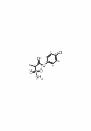 CC(C(=O)Oc1ccc(Cl)cc1)S(N)(=O)=O